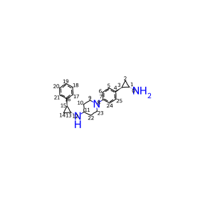 N[C@H]1C[C@@H]1c1ccc(N2CCC(N[C@@H]3C[C@H]3c3ccccc3)CC2)cc1